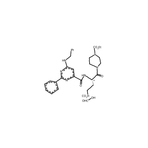 CCOC(=O)N1CCN(C(=O)[C@H](CCC(=O)O)NC(=O)c2cc(NCC(C)C)nc(-c3ccccc3)n2)CC1.O=CO